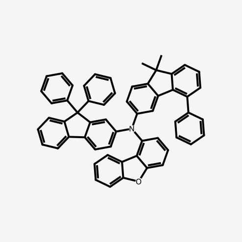 CC1(C)c2ccc(N(c3ccc4c(c3)C(c3ccccc3)(c3ccccc3)c3ccccc3-4)c3cccc4oc5ccccc5c34)cc2-c2c(-c3ccccc3)cccc21